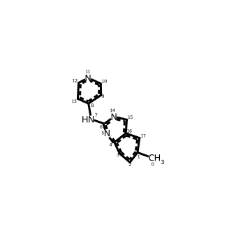 Cc1ccc2nc(Nc3ccncc3)ncc2c1